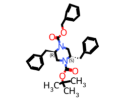 CC(C)(C)OC(=O)N1C[C@@H](Cc2ccccc2)N(C(=O)OCc2ccccc2)C[C@@H]1Cc1ccccc1